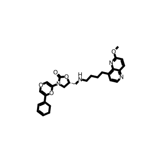 COc1ccc2nccc(CCCCNC[C@@H]3CN(C4=COC=C(C5=CC=CCC5)O4)C(=O)O3)c2n1